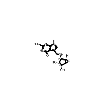 Nc1nc2[nH]cc(CN[C@@H]3[C@@H](O)[C@@H](O)C4O[C@@H]43)c2c(=O)[nH]1